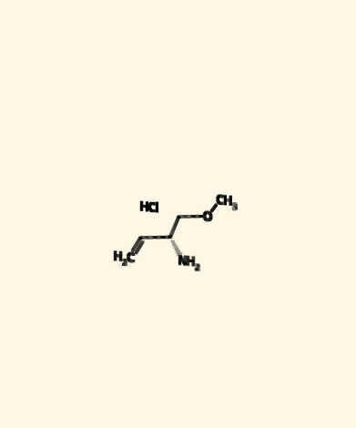 C=C[C@@H](N)COC.Cl